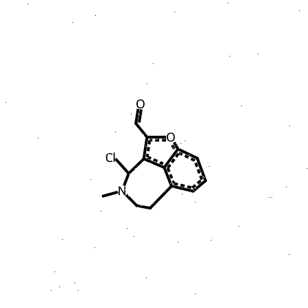 CN1CCc2cccc3oc(C=O)c(c23)C1Cl